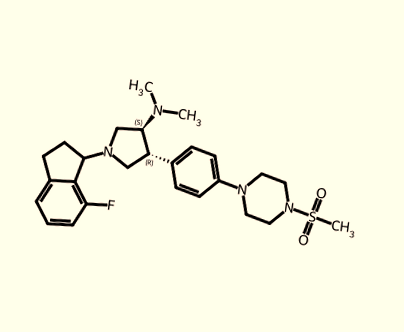 CN(C)[C@@H]1CN(C2CCc3cccc(F)c32)C[C@H]1c1ccc(N2CCN(S(C)(=O)=O)CC2)cc1